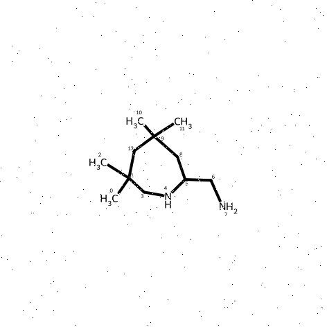 CC1(C)CNC(CN)CC(C)(C)C1